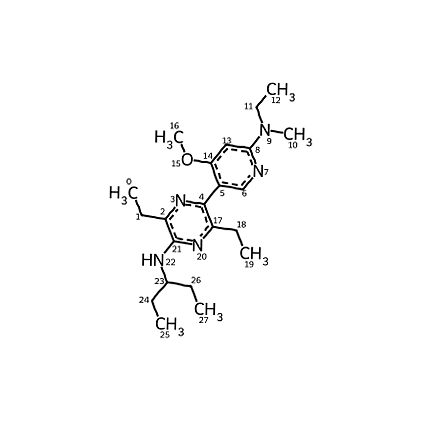 CCc1nc(-c2cnc(N(C)CC)cc2OC)c(CC)nc1NC(CC)CC